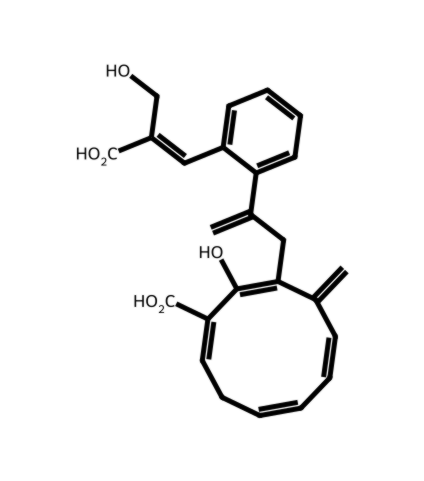 C=C1/C=C\C=C/C/C=C(C(=O)O)\C(O)=C/1CC(=C)c1ccccc1/C=C(\CO)C(=O)O